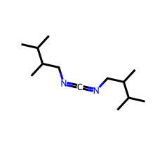 CC(C)C(C)CN=C=NCC(C)C(C)C